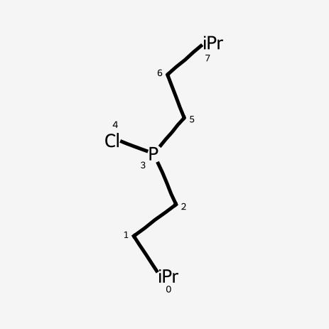 CC(C)CCP(Cl)CCC(C)C